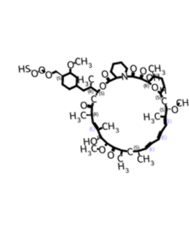 COC1CC(C[C@@H](C)[C@@H]2CC(=O)[C@H](C)/C=C(\C)[C@@H](O)C(OC)C(=O)C(C)C[C@H](C)/C=C/C=C/C=C(\C)[C@@H](OC)C[C@@H]3CC[C@@H](C)[C@@](O)(O3)C(=O)C(=O)N3CCCCC3C(=O)O2)CC[C@H]1COOOS